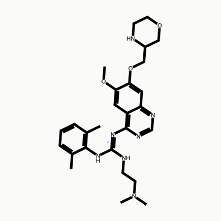 COc1cc2c(/N=C(\NCCN(C)C)Nc3c(C)cccc3C)ncnc2cc1OCC1COCCN1